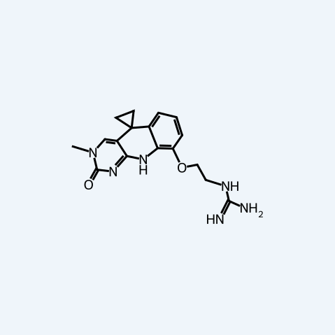 Cn1cc2c(nc1=O)Nc1c(OCCNC(=N)N)cccc1C21CC1